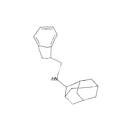 c1ccc2c(c1)CC2CNC1C2CC3CC(C2)CC1C3